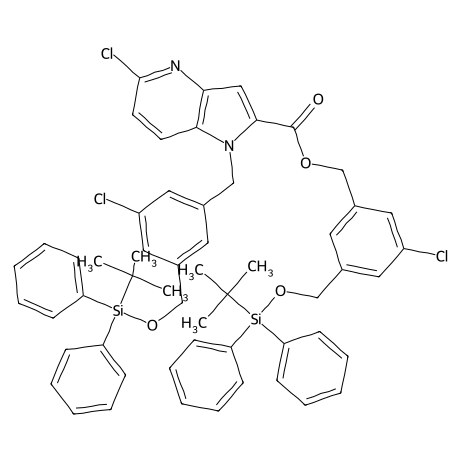 CC(C)(C)[Si](OCc1cc(Cl)cc(COC(=O)c2cc3nc(Cl)ccc3n2Cc2cc(Cl)cc(CO[Si](c3ccccc3)(c3ccccc3)C(C)(C)C)c2)c1)(c1ccccc1)c1ccccc1